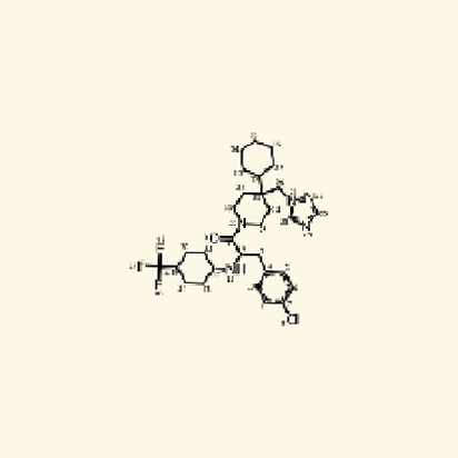 O=C([C@@H](Cc1ccc(Cl)cc1)N[C@H]1CC[C@@H](C(F)(F)F)CC1)N1CCC(Cn2cncn2)(C2CCCCC2)CC1